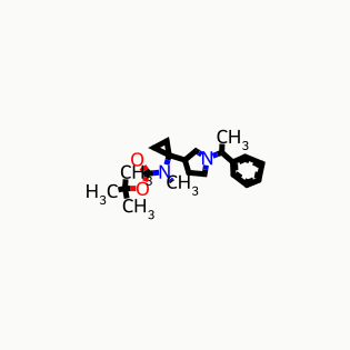 CC(c1ccccc1)N1CCC(C2(N(C)C(=O)OC(C)(C)C)CC2)C1